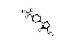 CC(C)S(=O)(=O)N1CCC(N2CCC(N)C2=O)CC1